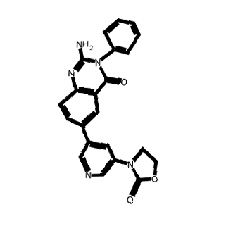 Nc1nc2ccc(-c3cncc(N4CCOC4=O)c3)cc2c(=O)n1-c1ccccc1